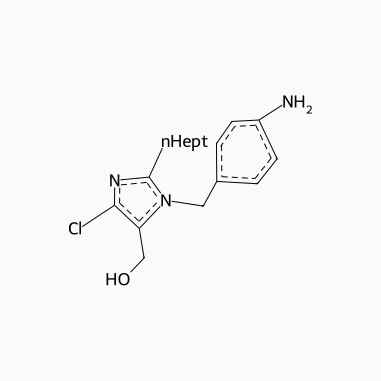 CCCCCCCc1nc(Cl)c(CO)n1Cc1ccc(N)cc1